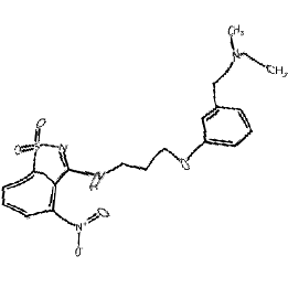 CN(C)Cc1cccc(OCCCNC2=NS(=O)(=O)c3cccc([N+](=O)[O-])c32)c1